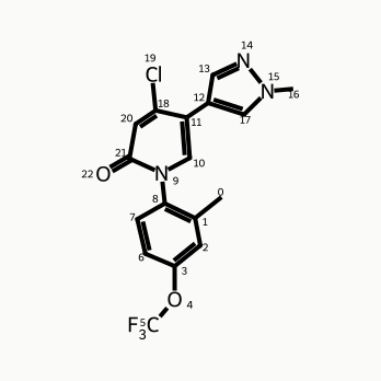 Cc1cc(OC(F)(F)F)ccc1-n1cc(-c2cnn(C)c2)c(Cl)cc1=O